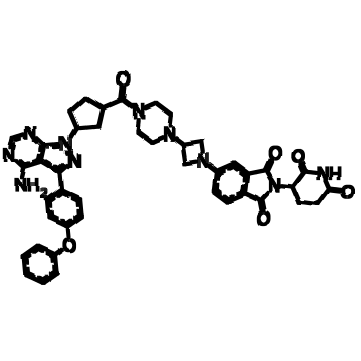 Nc1ncnc2c1c(-c1ccc(Oc3ccccc3)cc1)nn2C1CCC(C(=O)N2CCN(C3CN(c4ccc5c(c4)C(=O)N(C4CCC(=O)NC4=O)C5=O)C3)CC2)C1